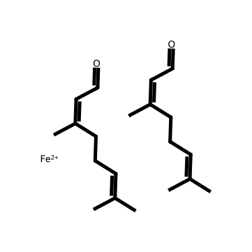 CC(C)=CCC/C(C)=C\C=O.CC(C)=CCC/C(C)=C\C=O.[Fe+2]